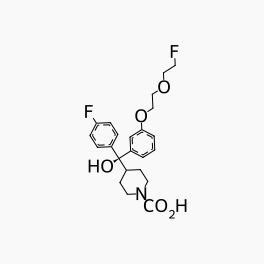 O=C(O)N1CCC([C@](O)(c2ccc(F)cc2)c2cccc(OCCOCCF)c2)CC1